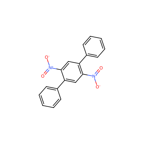 O=[N+]([O-])c1cc(-c2ccccc2)c([N+](=O)[O-])cc1-c1ccccc1